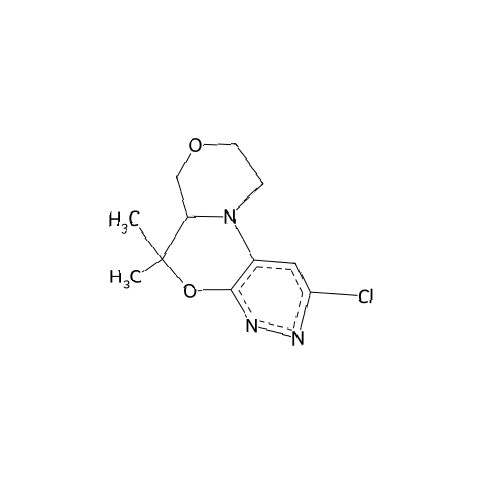 CC1(C)Oc2nnc(Cl)cc2N2CCOCC21